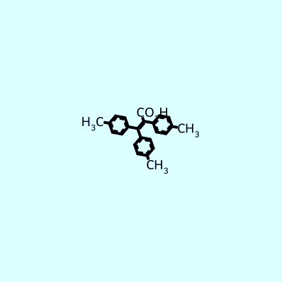 Cc1ccc(C(C(=O)O)=C(c2ccc(C)cc2)c2ccc(C)cc2)cc1